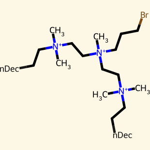 CCCCCCCCCCCC[N+](C)(C)CC[N+](C)(CCCBr)CC[N+](C)(C)CCCCCCCCCCCC